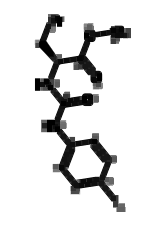 CC(C)C[C@H](NC(=O)Nc1ccc(I)cc1)C(=O)OC(C)(C)C